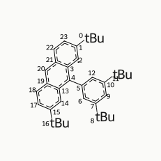 CC(C)(C)c1[c]c2c(-c3cc(C(C)(C)C)cc(C(C)(C)C)c3)c3cc(C(C)(C)C)ccc3cc2cc1